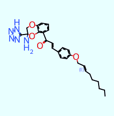 CCCCCC/C=C/COc1ccc(C=CC(=O)c2cccc3c2OC(N)(c2nnn[nH]2)CO3)cc1